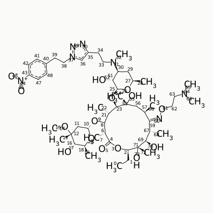 CC[C@H]1OC(=O)[C@H](C)C(O[C@H]2C[C@@](C)(OC)[C@@H](O)[C@H](C)O2)[C@H](C)[C@@H](O[C@@H]2O[C@H](C)C[C@H](N(C)CCc3cn(CCc4ccc([N+](=O)[O-])cc4)nn3)[C@H]2O)[C@](C)(O)C[C@@H](C)/C(=N\OCCN(C)C)[C@H](C)[C@@H](O)[C@]1(C)O